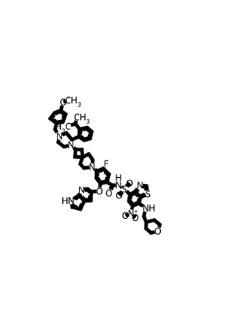 COc1ccc(CN2CCN(C3CC4(CCN(c5cc(Oc6cnc7[nH]ccc7c6)c(C(=O)NS(=O)(=O)c6cc([N+](=O)[O-])c(NCC7CCOCC7)c7scnc67)cc5F)CC4)C3)C(c3ccccc3C(C)C)C2)cc1